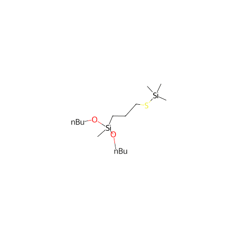 CCCCO[Si](C)(CCCS[Si](C)(C)C)OCCCC